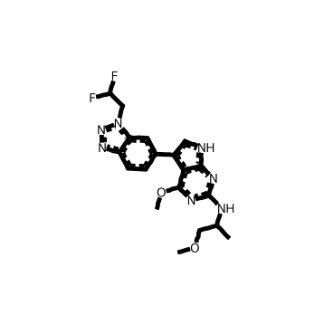 COCC(C)Nc1nc(OC)c2c(-c3ccc4nnn(CC(F)F)c4c3)c[nH]c2n1